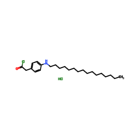 CCCCCCCCCCCCCCCCNc1ccc(CC(=O)Cl)cc1.Cl